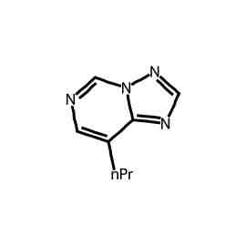 CCCc1cncn2ncnc12